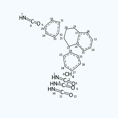 C.N=C=O.N=C=O.N=C=O.N=C=O.c1ccc2c(c1)CCCC2.c1ccccc1.c1ccccc1